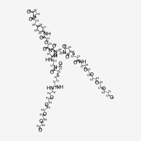 N=C(CCCSC1CC(=O)N(CCNC(=O)CN(C(=O)COCC(=O)Nc2ccc(CCC(=O)N3CCC3=O)cc2)C(=O)NCCN2C(=O)CC(SCCC(=O)NCCOCCOCCOCCOCCC=O)C2=O)C1=O)NCCOCCOCCOCCOCC=O